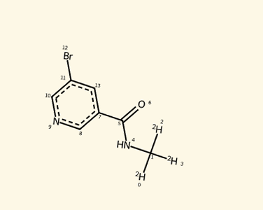 [2H]C([2H])([2H])NC(=O)c1cncc(Br)c1